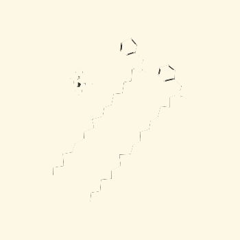 CCCCCCCCCCCCCCCCCC[S+](C)Cc1ccccc1.CCCCCCCCCCCCCCCCCC[S+](C)Cc1ccccc1.O=S(=O)([O-])[O-]